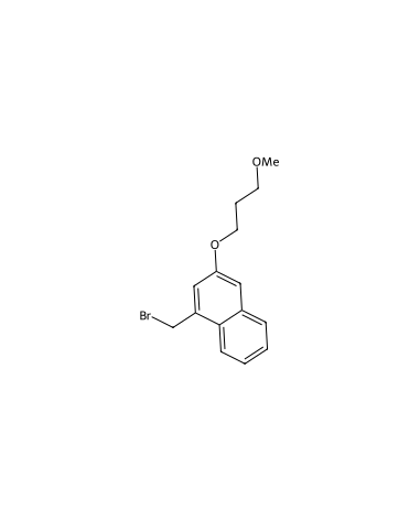 COCCCOc1cc(CBr)c2ccccc2c1